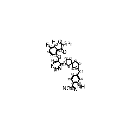 CC(C)N(C)C(=O)c1cc(F)ccc1Oc1cncnc1N1CCC2(CCN(Cc3ccc4c(C#N)n[nH]c4c3)C2)C1